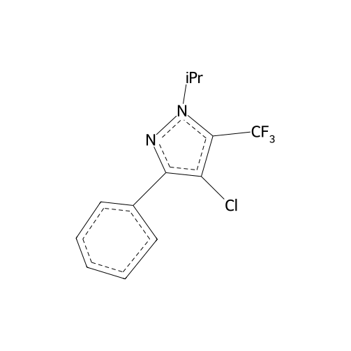 CC(C)n1nc(-c2ccccc2)c(Cl)c1C(F)(F)F